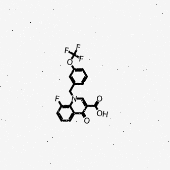 O=C(O)c1cn(Cc2cccc(OC(F)(F)F)c2)c2c(F)cccc2c1=O